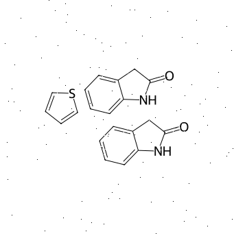 O=C1Cc2ccccc2N1.O=C1Cc2ccccc2N1.c1ccsc1